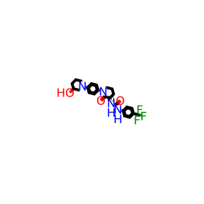 O=C(Nc1ccc(C(F)(F)F)cc1)N[C@@H]1CCCN(c2ccc(N3CCCC(O)C3)cc2)C1=O